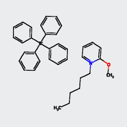 CCCCCC[n+]1ccccc1OC.c1ccc([B-](c2ccccc2)(c2ccccc2)c2ccccc2)cc1